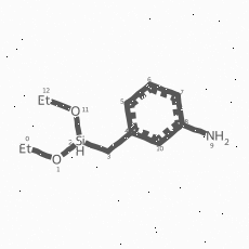 CCO[SiH](Cc1cccc(N)c1)OCC